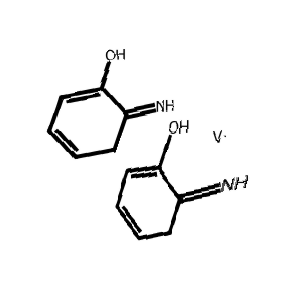 N=C1CC=CC=C1O.N=C1CC=CC=C1O.[V]